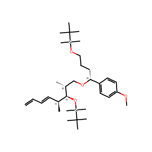 C=CC=C[C@H](C)[C@H](O[Si](C)(C)C(C)(C)C)[C@H](C)CO[C@H](CCCO[Si](C)(C)C(C)(C)C)c1ccc(OC)cc1